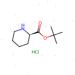 CC(C)(C)OC(=O)[C@H]1CCCCN1.Cl